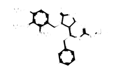 COc1ccc(C[C@H]2C(=O)OCC2[C@H](Cc2ccccc2)NC(=O)OC(C)(C)C)c(OC)c1OC